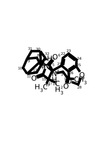 CC(=O)CNC(=O)[C@]12CC3CC(C1)[C@@H](N1C(=O)C(C)(C)C1c1cccc4c1OCO4)C(C3)C2